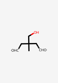 CC(CO)(C[C]=O)C[C]=O